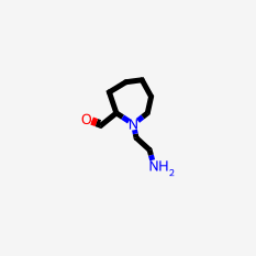 NCCN1CCCCCC1C=O